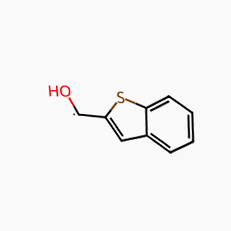 O[CH]c1cc2ccccc2s1